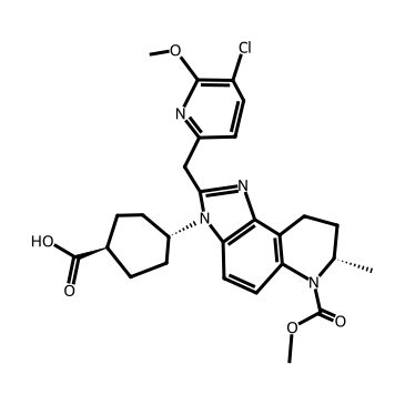 COC(=O)N1c2ccc3c(nc(Cc4ccc(Cl)c(OC)n4)n3[C@H]3CC[C@H](C(=O)O)CC3)c2CC[C@@H]1C